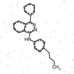 CCCCc1ccc(Nc2nnc(-c3ccccc3)c3ccccc23)cc1